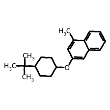 Cc1cc(OC2CCC(C(C)(C)C)CC2)cc2ccccc12